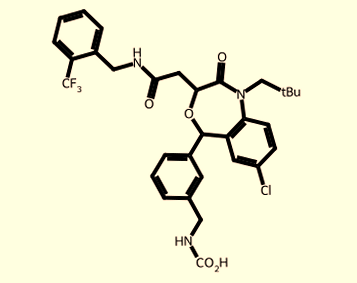 CC(C)(C)CN1C(=O)C(CC(=O)NCc2ccccc2C(F)(F)F)OC(c2cccc(CNC(=O)O)c2)c2cc(Cl)ccc21